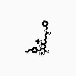 CCCc1ccc(CCC(CC(CCCCC(=O)OCc2ccccc2)C(=O)OC(C)(C)C)C(=O)O)cc1